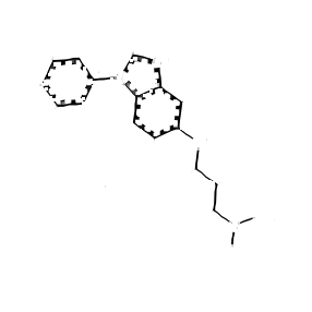 CN(C)CCCOc1ccc2c(c1)ncn2-c1ccccc1.Cl.Cl